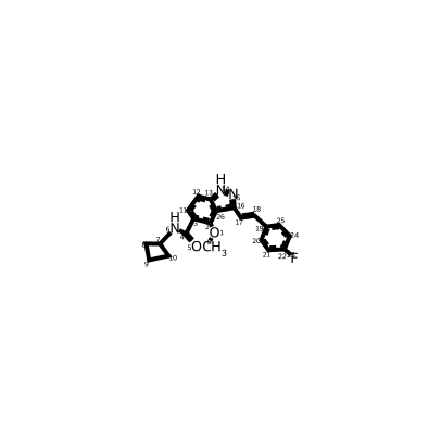 COc1c(C(=O)NC2CCC2)ccc2[nH]nc(C=Cc3ccc(F)cc3)c12